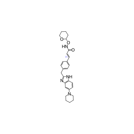 O=C(/C=C/c1ccc(Cc2nc3cc(N4CCCCC4)ccc3[nH]2)cc1)NOC1CCCCO1